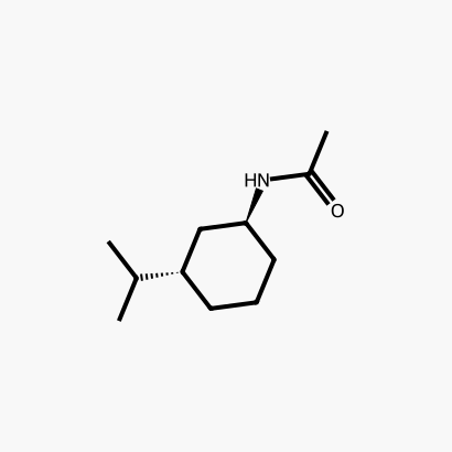 CC(=O)N[C@H]1CCC[C@H](C(C)C)C1